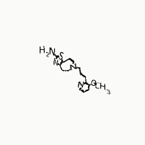 COc1cccnc1C=CCN1CCc2nc(N)sc2CC1